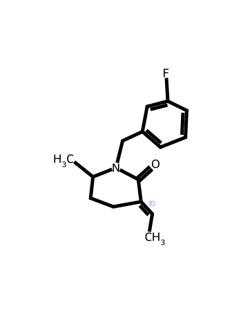 C/C=C1\CCC(C)N(Cc2cccc(F)c2)C1=O